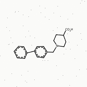 O=C(O)C1CCN(Cc2ccc(-c3ccccc3)cc2)CC1